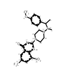 CC(c1ccc(OC(F)(F)F)cc1)N(C)N1CCN(c2nc(=O)c3cc(C(F)(F)F)cc([N+](=O)[O-])c3s2)CC1